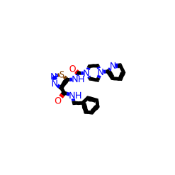 O=C(NCc1ccccc1)c1nnsc1NC(=O)N1CCN(c2ccccn2)CC1